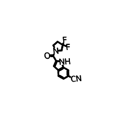 N#Cc1ccc2cc(C(=O)N3CCC(F)(F)C3)[nH]c2c1